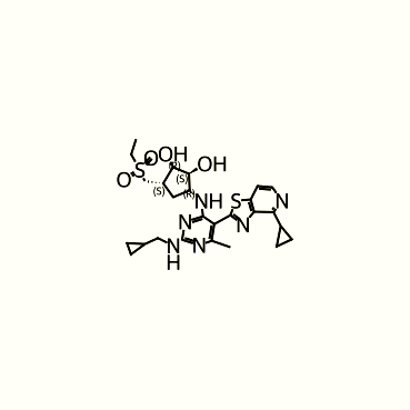 CCS(=O)(=O)C[C@H]1C[C@@H](Nc2nc(NCC3CC3)nc(C)c2-c2nc3c(C4CC4)nccc3s2)[C@H](O)[C@@H]1O